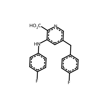 O=C(O)c1ncc(Cc2ccc(F)cc2)cc1Nc1ccc(F)cc1